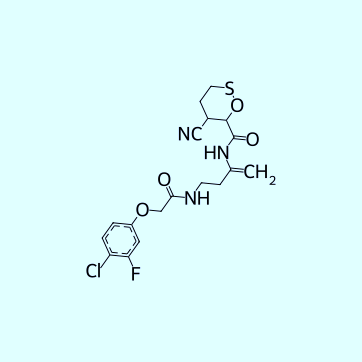 C=C(CCNC(=O)COc1ccc(Cl)c(F)c1)NC(=O)C1OSCCC1C#N